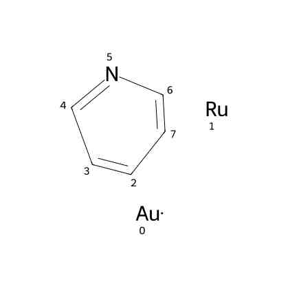 [Au].[Ru].c1ccncc1